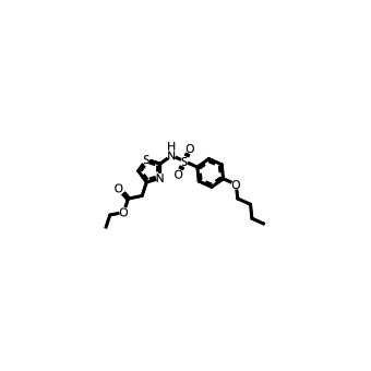 CCCCOc1ccc(S(=O)(=O)Nc2nc(CC(=O)OCC)cs2)cc1